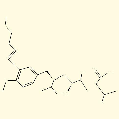 COCCC=Cc1cc(C[C@@H](C[C@H](N)[C@@H](O)C[C@H](C(=O)O)C(C)C)C(C)C)ccc1OC